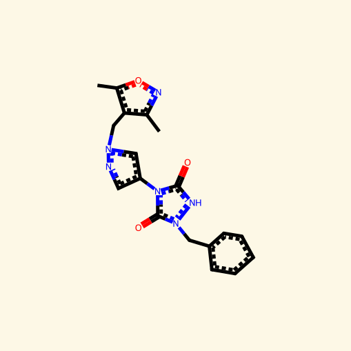 Cc1noc(C)c1Cn1cc(-n2c(=O)[nH]n(Cc3ccccc3)c2=O)cn1